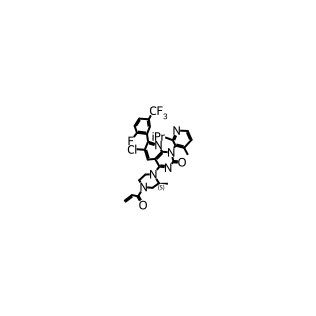 C=CC(=O)N1CCN(c2nc(=O)n(-c3c(C)ccnc3C(C)C)c3nc(-c4cc(C(F)(F)F)ccc4F)c(Cl)cc23)[C@@H](C)C1